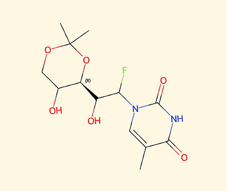 Cc1cn(C(F)C(O)[C@@H]2OC(C)(C)OCC2O)c(=O)[nH]c1=O